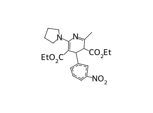 CCOC(=O)C1=C(N2CCCC2)N=C(C)C(C(=O)OCC)C1c1cccc([N+](=O)[O-])c1